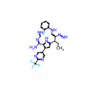 CCC(/C(=C/Nc1ccccc1F)N=N)c1cc(-c2cnc(C(F)(F)F)nc2)c(/C(N)=N\C=N)[nH]1